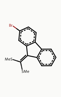 CSC(SC)=C1c2ccccc2-c2ccc(Br)cc21